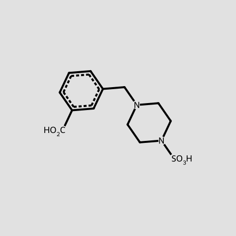 O=C(O)c1cccc(CN2CCN(S(=O)(=O)O)CC2)c1